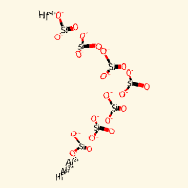 O=[Si]([O-])[O-].O=[Si]([O-])[O-].O=[Si]([O-])[O-].O=[Si]([O-])[O-].O=[Si]([O-])[O-].O=[Si]([O-])[O-].O=[Si]([O-])[O-].[Al+3].[Al+3].[Hf+4].[Hf+4]